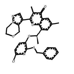 Cc1cc([C@@H](C)Oc2ccc(Cl)nc2SCc2ccccc2)c2oc(-c3cnn4c3COCC4)c(C)c(=O)c2c1